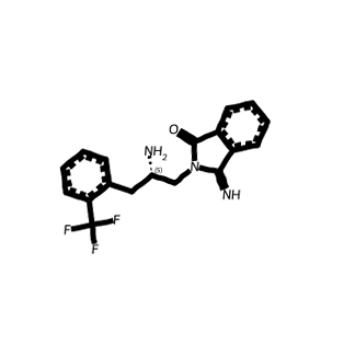 N=C1c2ccccc2C(=O)N1C[C@@H](N)Cc1ccccc1C(F)(F)F